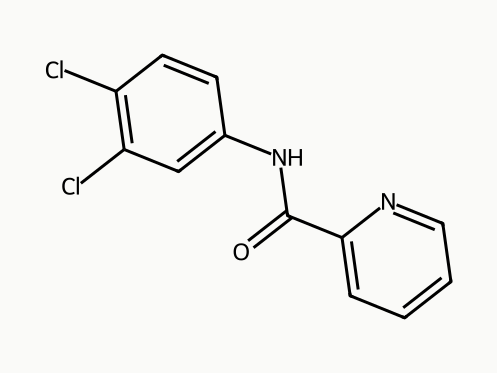 O=C(Nc1ccc(Cl)c(Cl)c1)c1ccccn1